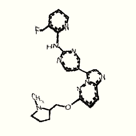 CN1CCCC1COc1ccc2ncc(-c3cnc(Nc4ncccc4F)nc3)n2n1